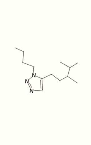 CCCCn1nncc1CCC(C)C(C)C